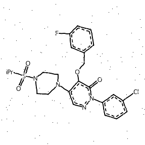 CC(C)S(=O)(=O)N1CCN(c2cnn(-c3cccc(Cl)c3)c(=O)c2OCc2cccc(F)c2)CC1